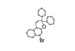 Brc1cc2c(c3ccccc13)C=CC(c1ccccc1)(c1ccccc1)O2